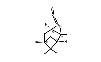 C[C@@H]1[C@H]2C[C@@H](C[C@H]1N=C=O)C2(C)C